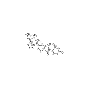 CCN(CC)[C@@H]1CCC[C@@H]1N(C)c1ccc2c(c1)C(=O)N(C1CCC(=O)NC1=O)C2=O